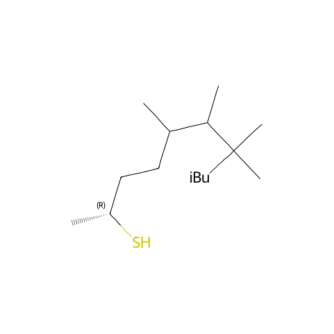 CCC(C)C(C)(C)C(C)C(C)CC[C@@H](C)S